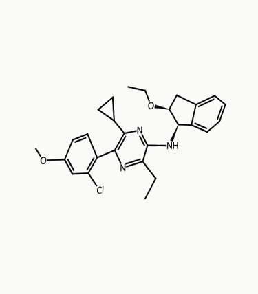 CCO[C@H]1Cc2ccccc2[C@H]1Nc1nc(C2CC2)c(-c2ccc(OC)cc2Cl)nc1CC